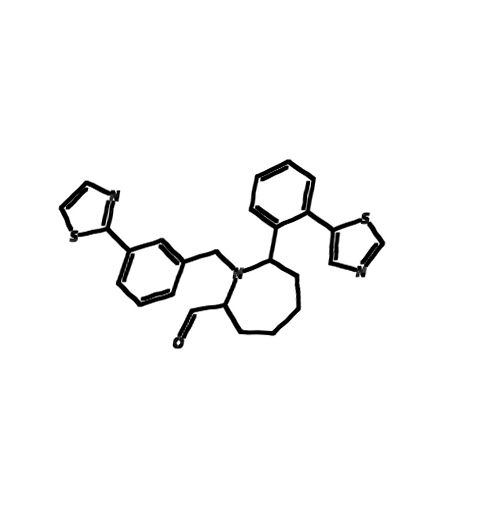 O=CC1CCCCC(c2ccccc2-c2cncs2)N1Cc1cccc(-c2nccs2)c1